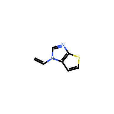 C=Cn1cnc2sccc21